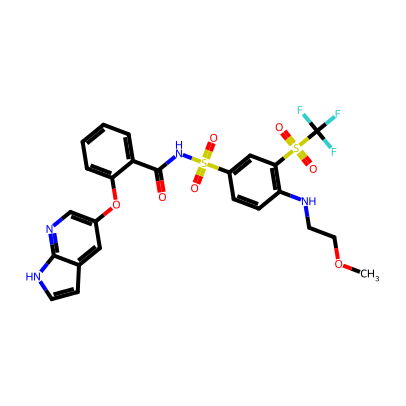 COCCNc1ccc(S(=O)(=O)NC(=O)c2ccccc2Oc2cnc3[nH]ccc3c2)cc1S(=O)(=O)C(F)(F)F